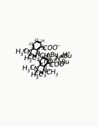 CCCC[N+](CCCC)(CCCC)CCCC.CN(C)c1cccc(C(=O)[O-])c1N(C)C.CN(C)c1cccc(C(=O)[O-])c1N(C)C.[H+]